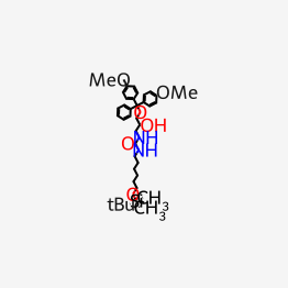 COc1ccc(C(OCC(O)CNC(=O)NCCCCCCO[Si](C)(C)C(C)(C)C)(c2ccccc2)c2ccc(OC)cc2)cc1